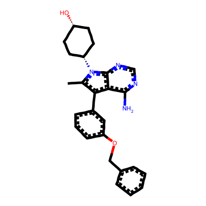 Cc1c(-c2cccc(OCc3ccccc3)c2)c2c(N)ncnc2n1[C@H]1CC[C@@H](O)CC1